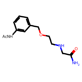 CC(=O)Nc1cccc(COCCNCC(N)=O)c1